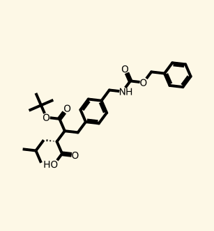 CC(C)C[C@@H](C(=O)O)C(Cc1ccc(CNC(=O)OCc2ccccc2)cc1)C(=O)OC(C)(C)C